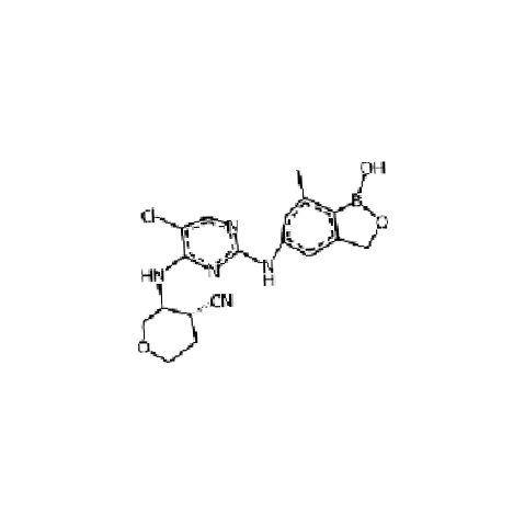 Cc1cc(Nc2ncc(Cl)c(N[C@@H]3COCC[C@H]3C#N)n2)cc2c1B(O)OC2